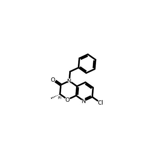 C[C@H]1Oc2nc(Cl)ccc2N(Cc2ccccc2)C1=O